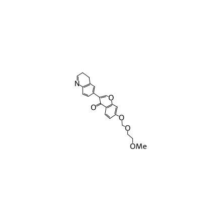 COCCOCOc1ccc2c(=O)c(-c3ccc4c(c3)CCC=N4)coc2c1